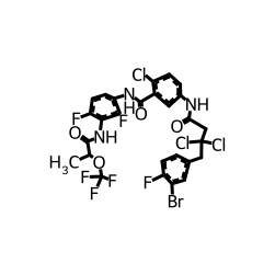 CC(OC(F)(F)F)C(=O)Nc1c(F)ccc(NC(=O)c2cc(NC(=O)CC(Cl)(Cl)Cc3ccc(F)c(Br)c3)ccc2Cl)c1F